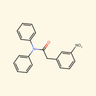 O=C(Cc1cccc([N+](=O)[O-])c1)N(c1ccccc1)c1ccccc1